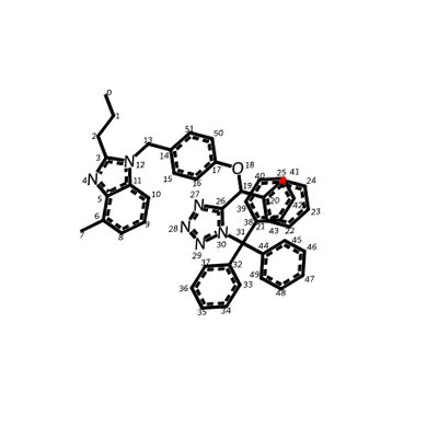 CCCc1nc2c(C)cccc2n1Cc1ccc(OC(c2ccccc2)c2nnnn2C(c2ccccc2)(c2ccccc2)c2ccccc2)cc1